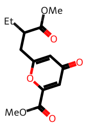 CCC(Cc1cc(=O)cc(C(=O)OC)o1)C(=O)OC